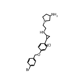 Cl.N[C@@H]1CCN(CCNC2CC2c2ccc(OCc3ccc(Br)cc3)cc2)C1